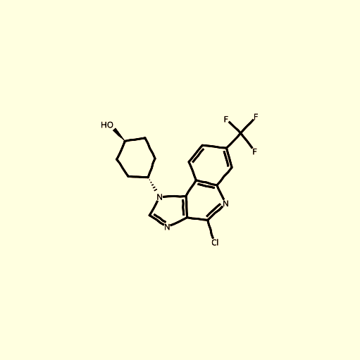 O[C@H]1CC[C@H](n2cnc3c(Cl)nc4cc(C(F)(F)F)ccc4c32)CC1